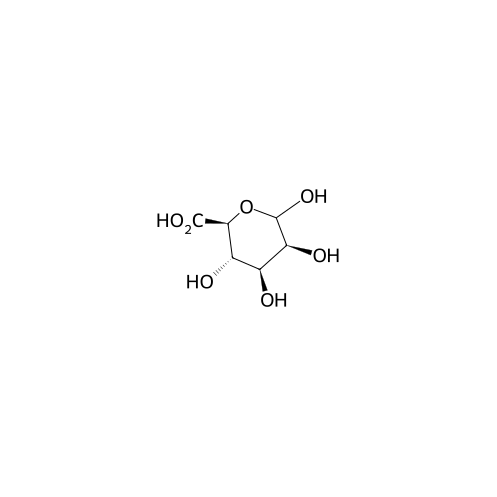 O=C(O)[C@H]1OC(O)[C@@H](O)[C@@H](O)[C@@H]1O